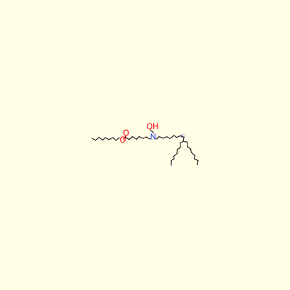 CCCCCCCCCOC(=O)CCCCCCCN(CCO)CCCCCCC/C=C\C(CCCCCCCC)CCCCCCCC